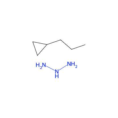 CCCC1CC1.NNN